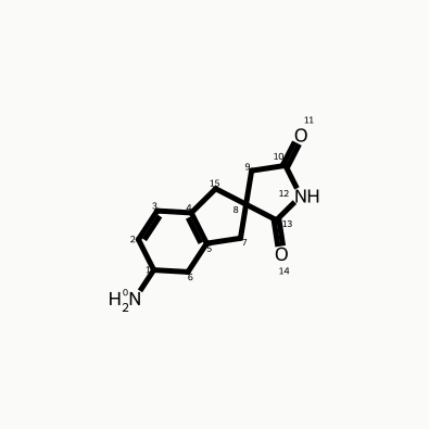 NC1C=CC2=C(C1)CC1(CC(=O)NC1=O)C2